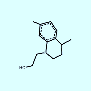 Cc1ccc2c(c1)N(CCO)CCC2C